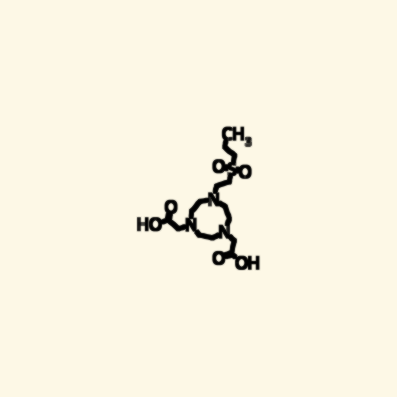 CCCS(=O)(=O)CCN1CCN(CC(=O)O)CCN(CC(=O)O)CC1